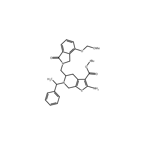 COCOc1cccc2c1CN(CC1Cc3c(sc(N)c3C(=O)OC(C)(C)C)CN1C(C)c1ccccc1)C2=O